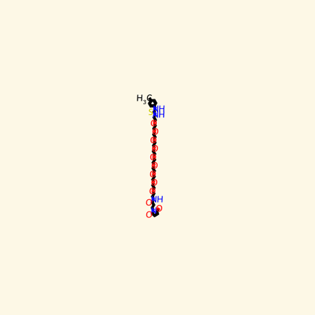 Cc1ccc(NC(=S)NCCOCCOCCOCCOCCOCCOCCOCCOCCOCCNC(=O)CCN2C(=O)C=CC2=O)cc1